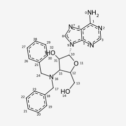 Nc1ncnc2c1ncn2[C@@H]1OC(CO)C(N(Cc2ccccc2)Cc2ccccc2)C1O